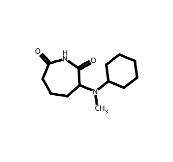 CN(C1CCCCC1)C1CCCC(=O)NC1=O